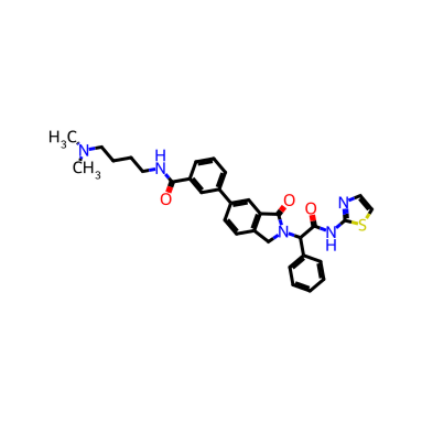 CN(C)CCCCNC(=O)c1cccc(-c2ccc3c(c2)C(=O)N(C(C(=O)Nc2nccs2)c2ccccc2)C3)c1